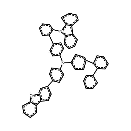 c1ccc(-c2ccccc2-c2ccc(N(c3ccc(-c4ccc5c(c4)oc4ccccc45)cc3)c3ccc(-c4ccccc4-n4c5ccccc5c5ccccc54)cc3)cc2)cc1